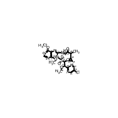 COc1ncnc(OC)c1/N=C(/NNC(=O)C(C)C1CC1)NS(=O)(=O)C(C)C(OC)c1ncc(Cl)cn1